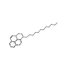 CCCCCCCCCCCCC1CCC2C=Cc3cccc4ccc1c2c34